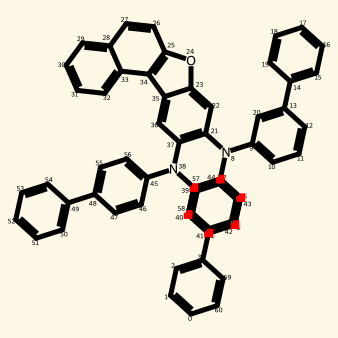 c1ccc(-c2ccc(N(c3cccc(-c4ccccc4)c3)c3cc4oc5ccc6ccccc6c5c4cc3N(c3ccccc3)c3ccc(-c4ccccc4)cc3)cc2)cc1